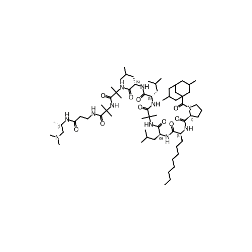 CCCCCCCC[C@H](NC(=O)[C@@H]1CCCN1C(=O)C12CC(C)CC(CC(C)C1)C2)C(=O)N[C@@H](CC(C)C)C(=O)NC(C)(C)C(=O)N[C@@H](CC(C)C)C(=O)N[C@@H](CC(C)C)C(=O)NC(C)(C)C(=O)NC(C)(C)C(=O)NCCC(=O)N[C@@H](C)CN(C)C